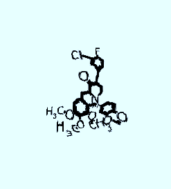 COc1cc2c(c(OC)c1OC)[C@@H](c1ccc3c(c1)OCO3)N1CCC(c3ccc(F)c(Cl)c3)C(=O)C1C2